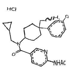 CC(=O)Nc1ccc(C(=O)N(CC2CC2)C2CCC(CN)(c3cccc(Cl)c3)CC2)cn1.Cl